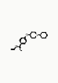 CCOC(=O)c1ccc(OC2CCN(C3CCCCC3)CC2)cc1